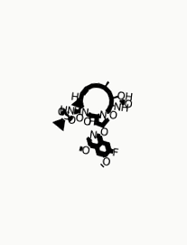 COc1cc2c(OC)cnc(O[C@@H]3C[C@H]4C(=O)N[C@]5(C(=O)NS(=O)(=O)C6CC6)C[C@H]5C=CCC[C@@H](C)C[C@@H](C)[C@H](NC(=O)O)C(=O)N4C3)c2cc1F